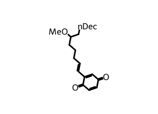 CCCCCCCCCCCC(CCCC=CC1=CC(=O)C=CC1=O)OC